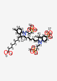 COC(=O)CCCCCCCC1(C)/C(=C/C=C/C=C/C2=[N+](CCCS(=O)(=O)OC)c3ccc(S(=O)(=O)OC)cc3C2(C)C)N(CCCS(=O)(=O)OC)c2ccc(C)cc21